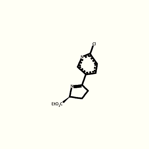 CCOC(=O)[C@@H]1CCC(c2ccc(Cl)nc2)=N1